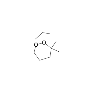 CC1(C)CCCOO1.CCC